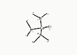 C[CH2][Ge]([N](C)C)([N](C)C)[N](C)C